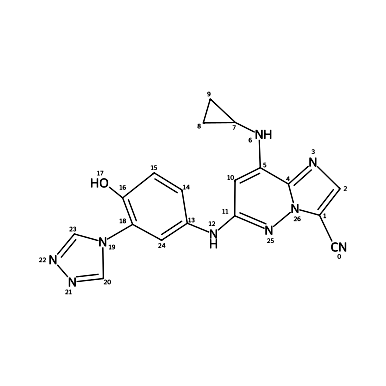 N#Cc1cnc2c(NC3CC3)cc(Nc3ccc(O)c(-n4cnnc4)c3)nn12